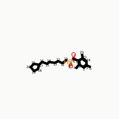 Cc1cc(C)c(C(=O)[PH](=O)CCCCCCCC2CCCC2)c(C)c1